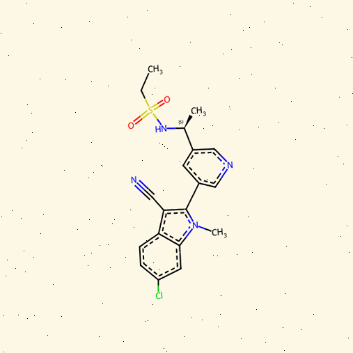 CCS(=O)(=O)N[C@@H](C)c1cncc(-c2c(C#N)c3ccc(Cl)cc3n2C)c1